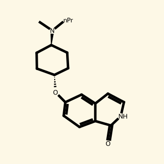 CCCN(C)[C@H]1CC[C@H](Oc2ccc3c(=O)[nH]ccc3c2)CC1